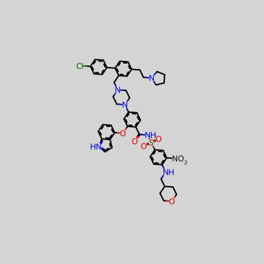 O=C(NS(=O)(=O)c1ccc(NCC2CCOCC2)c([N+](=O)[O-])c1)c1ccc(N2CCN(Cc3cc(CCN4CCCC4)ccc3-c3ccc(Cl)cc3)CC2)cc1Oc1cccc2[nH]ccc12